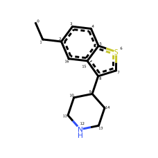 CCc1ccc2scc(C3CCNCC3)c2c1